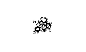 CCc1c2c(n(S(=O)(=O)c3ccc(C)cc3)c1C(N)=O)C(=C=O)N(C)C=C2